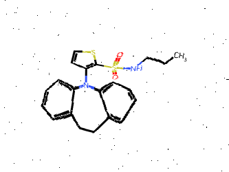 CCCNS(=O)(=O)c1sccc1N1c2ccccc2CCc2ccccc21